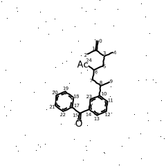 C=C(C)C(C)CC(CC(C)c1cccc(C(=O)c2ccccc2)c1)C(C)=O